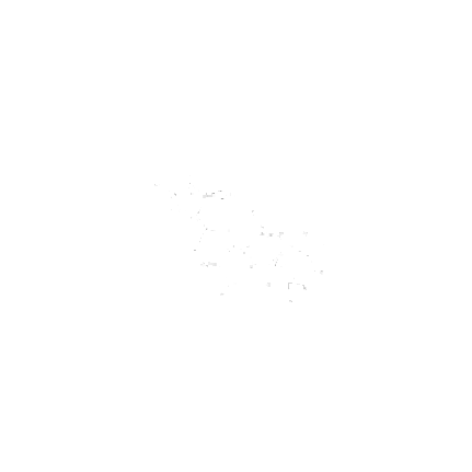 COC1=NCC(=C2SC(=O)NC2=O)C=C1c1cc2c(cc1C)C(C)(C)CCC2(C)C